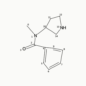 CN(C(=O)c1ccccc1)C1CCNC1